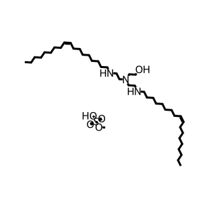 CCCCCCCC/C=C\CCCCCCCCNCCN(CCO)CCNCCCCCCCC/C=C\CCCCCCCC.COS(=O)(=O)O